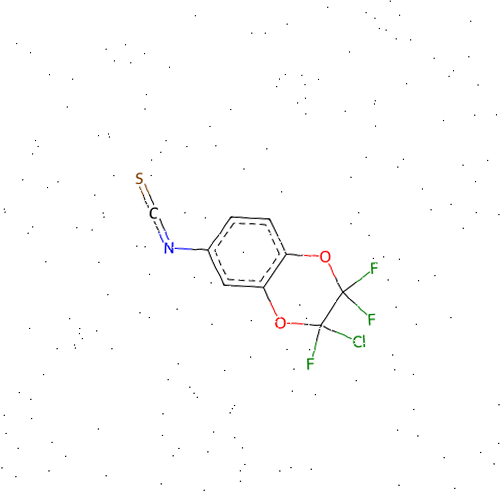 FC1(F)Oc2ccc(N=C=S)cc2OC1(F)Cl